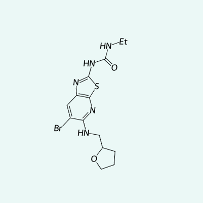 CCNC(=O)Nc1nc2cc(Br)c(NCC3CCCO3)nc2s1